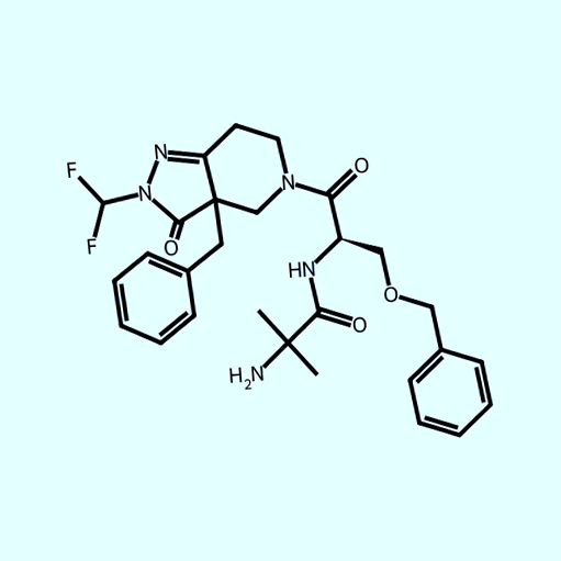 CC(C)(N)C(=O)N[C@H](COCc1ccccc1)C(=O)N1CCC2=NN(C(F)F)C(=O)C2(Cc2ccccc2)C1